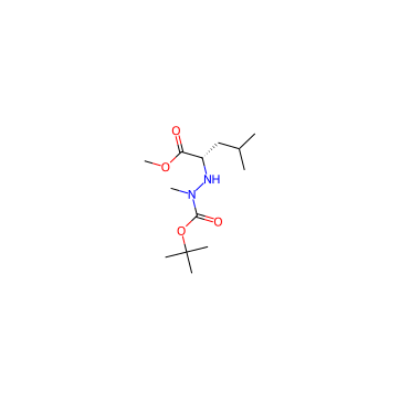 COC(=O)[C@H](CC(C)C)NN(C)C(=O)OC(C)(C)C